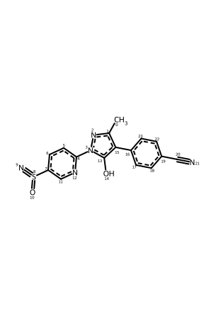 Cc1nn(-c2ccc(S(#N)=O)cn2)c(O)c1-c1ccc(C#N)cc1